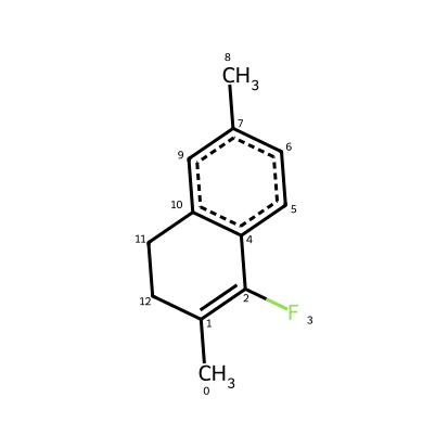 CC1=C(F)c2ccc(C)cc2CC1